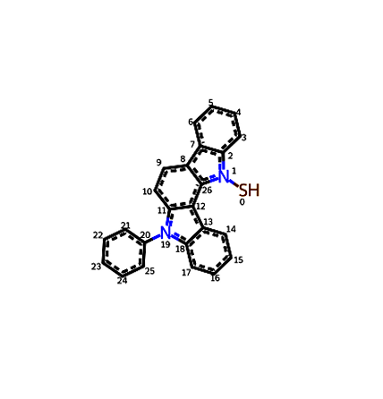 Sn1c2ccccc2c2ccc3c(c4ccccc4n3-c3ccccc3)c21